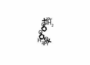 CC(C)C(C)(C)[SiH2]Oc1cccc(Oc2cccc(O[SiH2]C(C)(C)C(C)C)c2)c1